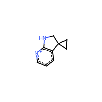 [c]1ccc2c(n1)NCC21CC1